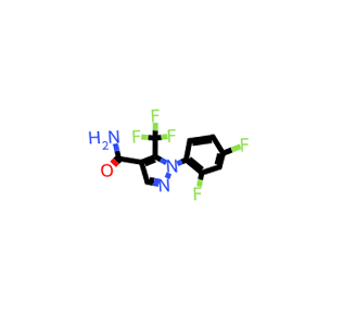 NC(=O)c1cnn(-c2ccc(F)cc2F)c1C(F)(F)F